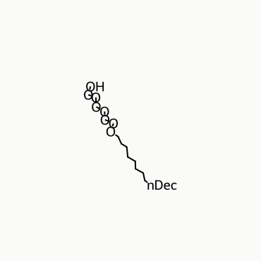 CCCCCCCCCCCCCCCCCCOOOOOOOO